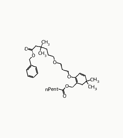 CCCCCC(=O)OCC1=C(OCCCOCCCC(C)(C)CC(=O)OCc2ccccc2)C=CC(C)(C)C1